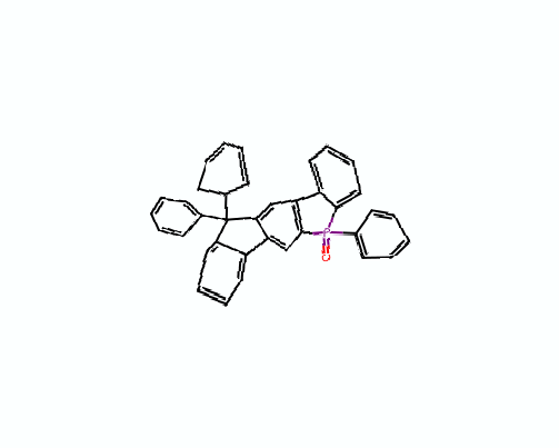 O=P1(c2ccccc2)c2ccccc2-c2cc3c(cc21)-c1ccccc1C3(c1ccccc1)C1C=CC=CC1